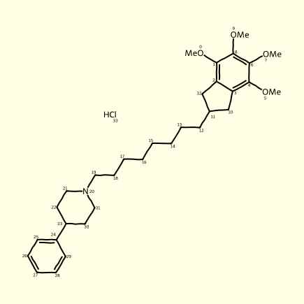 COc1c2c(c(OC)c(OC)c1OC)CC(CCCCCCCCN1CCC(c3ccccc3)CC1)C2.Cl